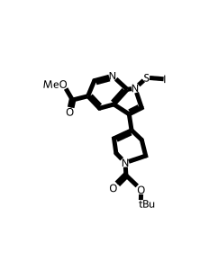 COC(=O)c1cnc2c(c1)c(C1=CCN(C(=O)OC(C)(C)C)CC1)cn2SI